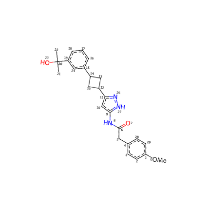 COc1ccc(CC(=O)Nc2cc(C3CC(c4cccc(C(C)(C)O)c4)C3)n[nH]2)cc1